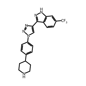 FC(F)(F)c1ccc2c(-c3cn(-c4ccc(C5CCNCC5)cc4)nn3)n[nH]c2c1